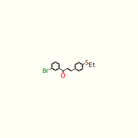 CCSc1ccc(C=CC(=O)c2cccc(Br)c2)cc1